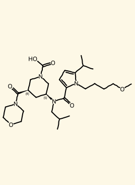 COCCCCn1c(C(=O)N(CC(C)C)[C@H]2C[C@@H](C(=O)N3CCOCC3)CN(C(=O)O)C2)ccc1C(C)C